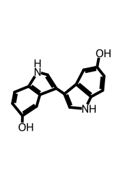 Oc1ccc2[nH]cc(-c3c[nH]c4ccc(O)cc34)c2c1